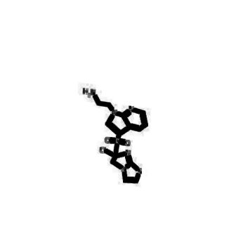 NCCn1cc(S(=O)(=O)C2(Cl)CN3C=CSC3=N2)c2cccnc21